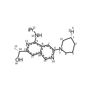 [2H][C@@H]1CCCN(c2cc3c(NC(C)C)nc([C@@H](C)O)cc3cn2)C1